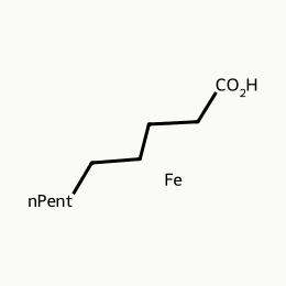 CCCCCCCCCC(=O)O.[Fe]